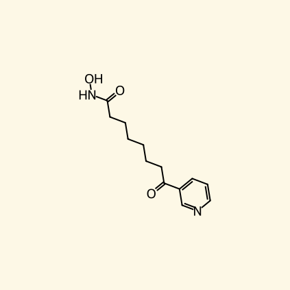 O=C(CCCCCCC(=O)c1cccnc1)NO